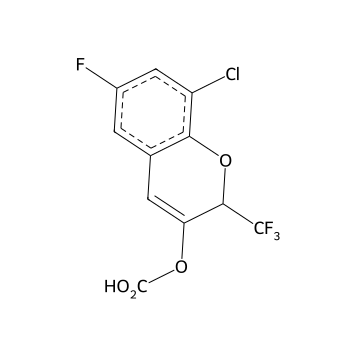 O=C(O)OC1=Cc2cc(F)cc(Cl)c2OC1C(F)(F)F